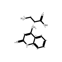 CCCC(=O)O.Cc1cc(=O)oc2ccccc12